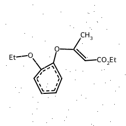 CCOC(=O)C=C(C)Oc1ccccc1OCC